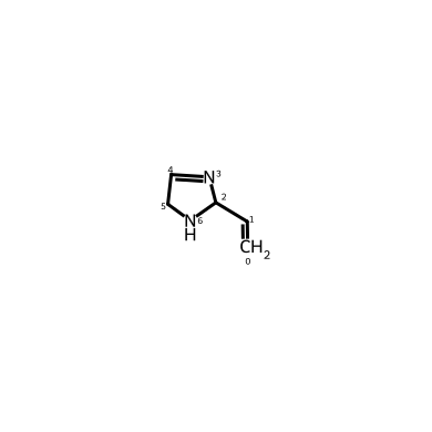 C=CC1N=CCN1